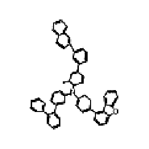 CC1C=C(c2cccc(-c3ccc4ccccc4c3)c2)C=CC1N(C1=CC=C(c2cccc3oc4ccccc4c23)CC1)c1cccc(-c2ccccc2-c2ccccc2)c1